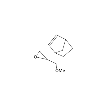 C1=CC2CCC1C2.COCC1CO1